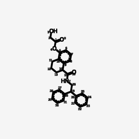 O=C(CO)Oc1cccc2c1CCCC2C(=O)NCC(c1ccccc1)c1ccccc1